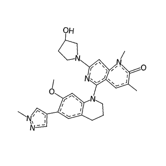 COc1cc2c(cc1-c1cnn(C)c1)CCCN2c1nc(N2CCC(O)C2)cc2c1cc(C)c(=O)n2C